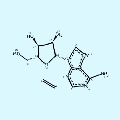 C=C.Nc1ncnc2c1ncn2[C@@H]1O[C@H](CO)[C@@H](O)[C@H]1O